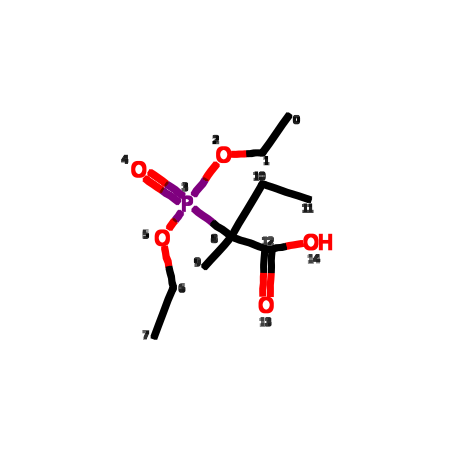 CCOP(=O)(OCC)C(C)(CC)C(=O)O